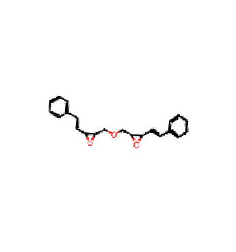 C(=CC1OC1COCC1OC1C=Cc1ccccc1)c1ccccc1